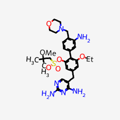 CCOc1cc(Cc2cnc(N)nc2N)cc(OS(=O)(=O)CC(C)(C)OC)c1-c1ccc(CN2CCOCC2)c(N)c1